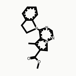 COC(=O)c1cn2ncnc(N3CCc4ccccc43)c2c1C